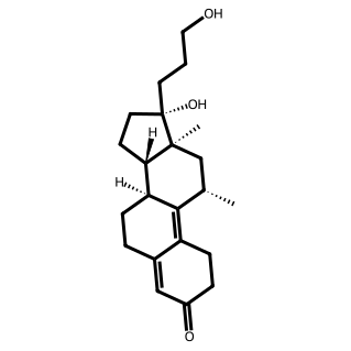 C[C@H]1C[C@@]2(C)[C@@H](CC[C@@]2(O)CCCO)[C@@H]2CCC3=CC(=O)CCC3=C21